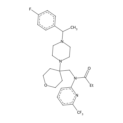 CCC(=O)N(CC1(N2CCN(C(C)c3ccc(F)cc3)CC2)CCOCC1)c1cccc(C(F)(F)F)n1